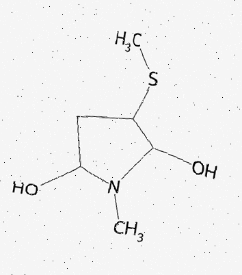 CSC1CC(O)N(C)C1O